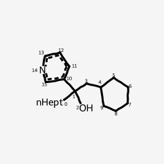 CCCCCCCC(O)(CC1CCCCC1)c1cccnc1